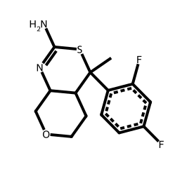 CC1(c2ccc(F)cc2F)SC(N)=NC2COCCC21